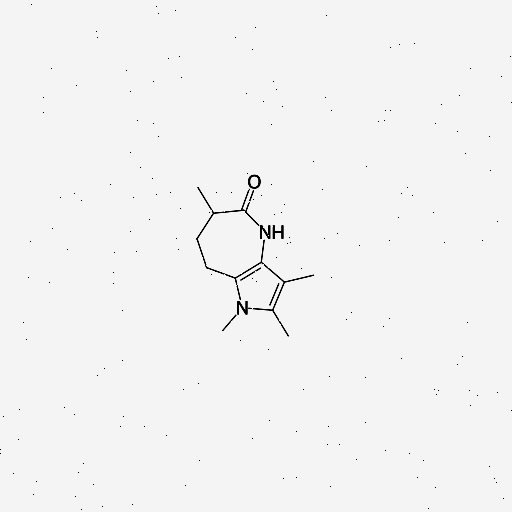 Cc1c2c(n(C)c1C)CCC(C)C(=O)N2